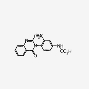 CCCCc1nc2ccccc2c(=O)n1-c1ccc(NC(=O)O)cc1C(F)(F)F